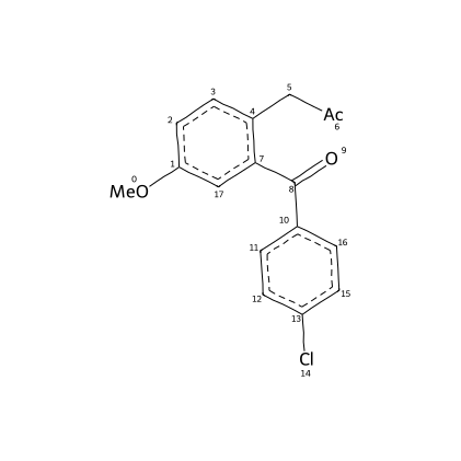 COc1ccc(CC(C)=O)c(C(=O)c2ccc(Cl)cc2)c1